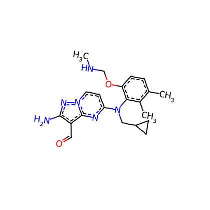 CNCOc1ccc(C)c(C)c1N(CC1CC1)c1ccn2nc(N)c(C=O)c2n1